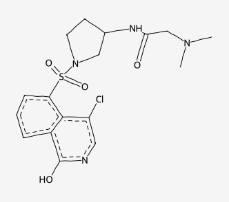 CN(C)CC(=O)NC1CCN(S(=O)(=O)c2cccc3c(O)ncc(Cl)c23)C1